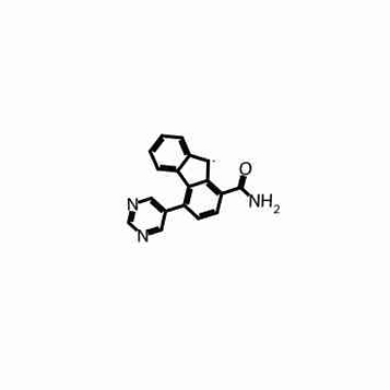 NC(=O)c1ccc(-c2cncnc2)c2c1[CH]c1ccccc1-2